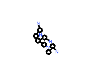 N#Cc1ccc(-n2c3ccccc3c3cc(C#N)ccc32)c(-c2ccccc2-c2ccc(-n3c4ccccc4c4c(C#N)cccc43)cc2)c1